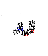 C1=CCCC(c2cc(-c3ccc4oc5cc6oc7ccc(-c8ccccc8)cc7c6cc5c4c3)nc(-c3ccccc3)n2)=C1